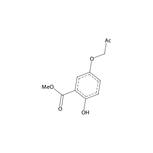 COC(=O)c1cc(OCC(C)=O)ccc1O